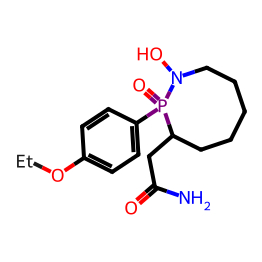 CCOc1ccc(P2(=O)C(CC(N)=O)CCCCCN2O)cc1